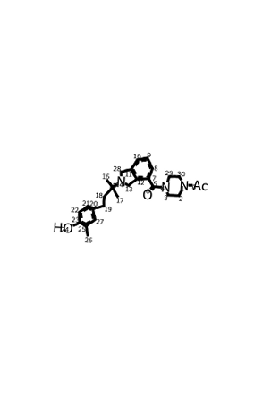 CC(=O)N1CCN(C(=O)c2cccc3c2CN(C(C)(C)CCc2ccc(O)c(C)c2)C3)CC1